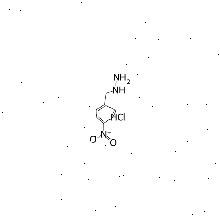 Cl.NNCc1ccc([N+](=O)[O-])cc1